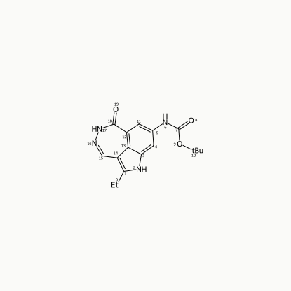 CCc1[nH]c2cc(NC(=O)OC(C)(C)C)cc3c2c1C=NNC3=O